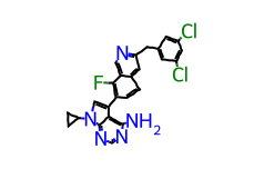 Nc1ncnc2c1c(-c1ccc3cc(Cc4cc(Cl)cc(Cl)c4)ncc3c1F)cn2C1CC1